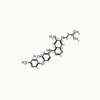 Cc1ccc(Oc2ccc(Nc3ncnc4cc(OCCN(C)C)c(N)cc34)cc2C)cn1